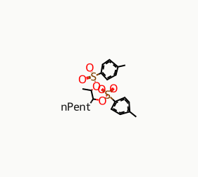 CCCCCC(OS(=O)(=O)c1ccc(C)cc1)C(C)OS(=O)(=O)c1ccc(C)cc1